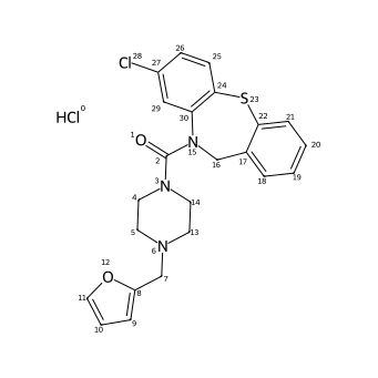 Cl.O=C(N1CCN(Cc2ccco2)CC1)N1Cc2ccccc2Sc2ccc(Cl)cc21